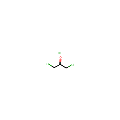 F.O=C(CCl)CCl